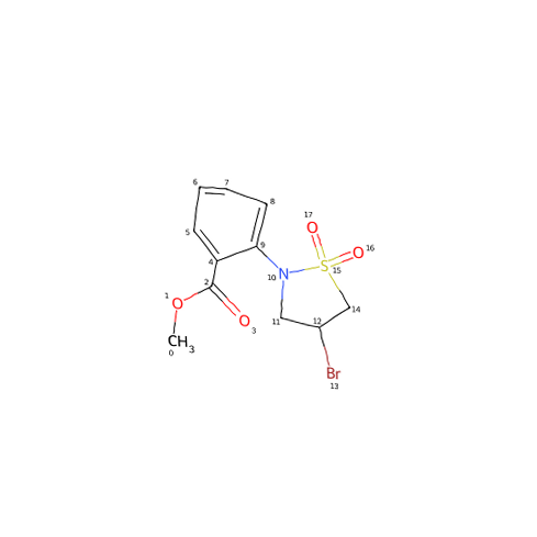 COC(=O)c1ccccc1N1CC(Br)CS1(=O)=O